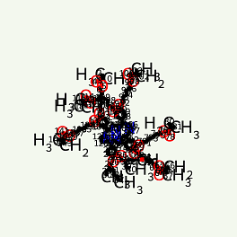 C=C(C)C(=O)OCCCCCCOc1ccc(-c2c3nc(c(-c4ccc(OCC(CC)CCCC)c(OCC(CC)CCCC)c4)c4ccc5c(-c6ccc(OCCCCCCOC(=O)C(=C)C)c(OCCCCCCOC(=O)C(=C)C)c6)c6nc(c(-c7ccc(OCCCCCCOC(=O)C(=C)C)c(OCCCCCCOC(=O)C(C)(C)C)c7)c7ccc2n7n54)C=C6)C=C3)cc1OCCCCCCOC(=O)C(=C)C